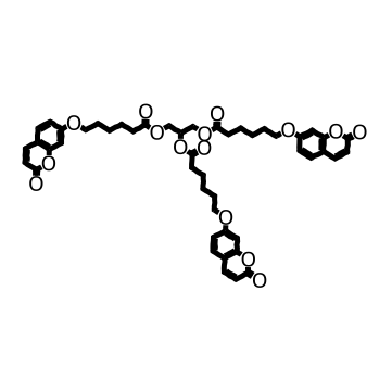 O=C(CCCCCOc1ccc2ccc(=O)oc2c1)OCC(COC(=O)CCCCCOc1ccc2ccc(=O)oc2c1)OC(=O)CCCCCOc1ccc2ccc(=O)oc2c1